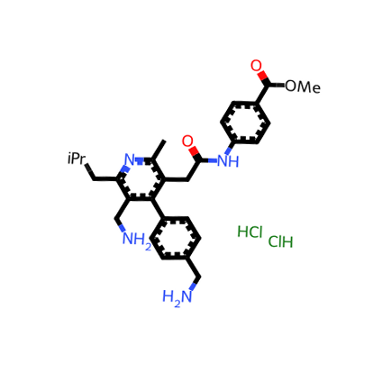 COC(=O)c1ccc(NC(=O)Cc2c(C)nc(CC(C)C)c(CN)c2-c2ccc(CN)cc2)cc1.Cl.Cl